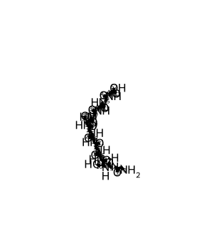 NCC(=O)NCC(=O)N[C@@H](CO)C(=O)NCC(=O)NCC(=O)NCC(=O)NCC(=O)N[C@@H](CO)C(=O)NCC(=O)NCC(=O)NCC(=O)NCC(=O)O